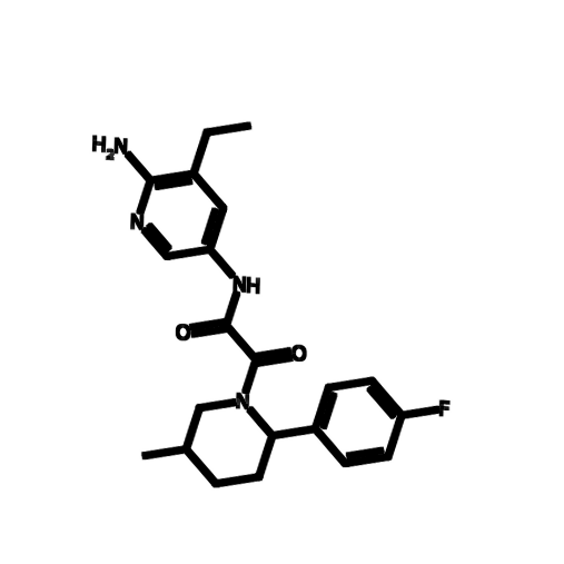 CCc1cc(NC(=O)C(=O)N2CC(C)CCC2c2ccc(F)cc2)cnc1N